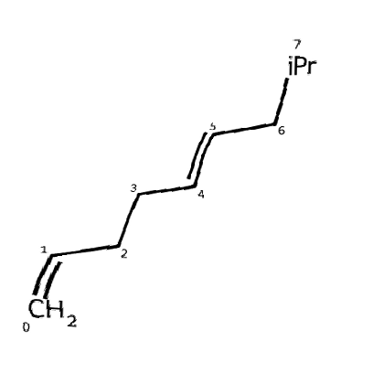 C=CCCC=CCC(C)C